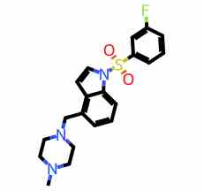 CN1CCN(Cc2cccc3c2ccn3S(=O)(=O)c2cccc(F)c2)CC1